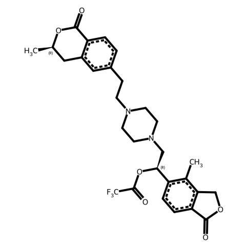 Cc1c([C@H](CN2CCN(CCc3ccc4c(c3)C[C@@H](C)OC4=O)CC2)OC(=O)C(F)(F)F)ccc2c1COC2=O